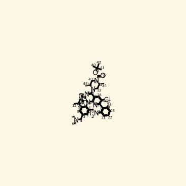 Cc1cc(CN(C)C)cc(C(C)C)c1N1c2nc(-c3c(N)cccc3F)c(Cl)cc2C(N2C[C@H](C)N(C(=O)OC(C)(C)C)C[C@@H]2C)=NS1(=O)=O